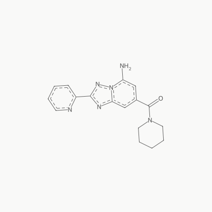 Nc1cc(C(=O)N2CCCCC2)cc2nc(-c3ccccn3)nn12